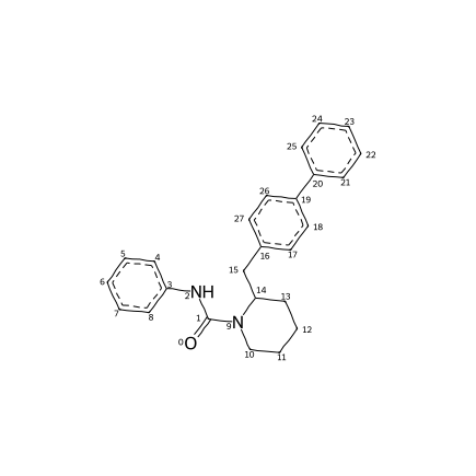 O=C(Nc1ccccc1)N1CCCCC1Cc1ccc(-c2ccccc2)cc1